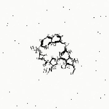 CCc1[nH]c2nc(Sc3cnc4cccnc4c3)nc(N3C[C@@H](N)[C@@H](C(=O)N4CC(N)C4)C3)c2c1Cl